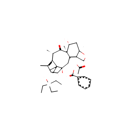 CC[Si](CC)(CC)O[C@H]1C[C@@]2(O)[C@@H](OC(=O)c3ccccc3)[C@@H]3[C@]4(OC(C)=O)CO[C@@H]4C[C@H](O)[C@@]3(C)C(=O)[C@H](C)C(=C1C)C2(C)C